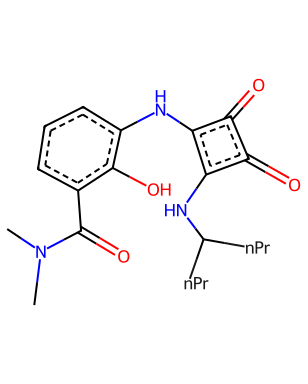 CCCC(CCC)Nc1c(Nc2cccc(C(=O)N(C)C)c2O)c(=O)c1=O